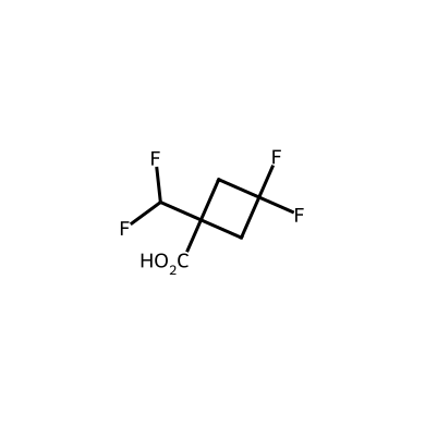 O=C(O)C1(C(F)F)CC(F)(F)C1